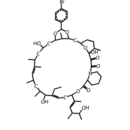 CC/C1=C\CC(/C(C)=C/C(C)C(C)O)OC(=O)C2CCCCN2C(=O)C(=O)C2(O)OC(CCC2C)CC2OC(c3ccc(Br)cc3)OC(CC(O)CC(C)/C(C)=C/C(C)CC(C)C1O)C2C